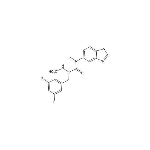 CN(C(=O)C(Cc1cc(F)cc(F)c1)NC(=O)O)c1ccc2scnc2c1